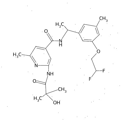 Cc1cc(OCC(F)F)cc(C(C)NC(=O)c2cc(C)nc(NC(=O)C(C)(C)O)c2)c1